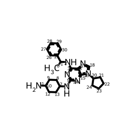 CC(Nc1nc(NC2CCC(N)CC2)nc2c1ncn2C1CCCC1)c1ccccc1